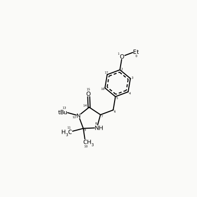 CCOc1ccc(CC2NC(C)(C)N(C(C)(C)C)C2=O)cc1